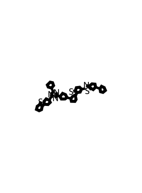 c1ccc(-c2ccc3nc(-c4ccc5sc6c(-c7ccc(-c8nc(-c9ccccc9)nc(-c9ccc%10c(c9)sc9ccccc9%10)n8)cc7)cccc6c5c4)sc3c2)cc1